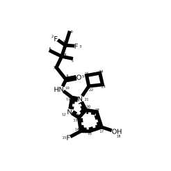 CC(F)(F)C(C)(C)CC(=O)Nc1nc2c(F)cc(O)cc2n1C1CCC1